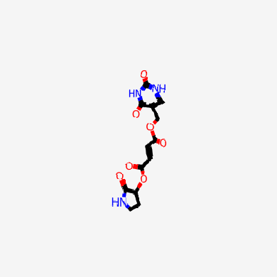 O=C(/C=C/C(=O)OC1CCNC1=O)OCc1c[nH]c(=O)[nH]c1=O